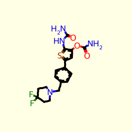 NC(=O)Nc1sc(-c2ccc(CN3CCC(F)(F)CC3)cc2)cc1OC(N)=O